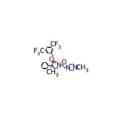 Cc1ccccc1[C@@H]1CCN(C(=O)CN2CCN(C)CC2)C[C@@H]1OCc1cc(C(F)(F)F)cc(C(F)(F)F)c1